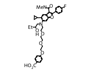 CCC(O)CN(CCOCCOCCOc1ccc(C(=O)O)cc1)c1cc2oc(-c3ccc(F)cc3)c(C(=O)NC)c2cc1C1CC1